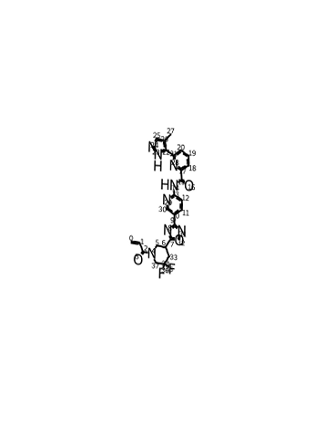 C=CC(=O)N1CC(c2nc(-c3ccc(NC(=O)c4cccc(-c5[nH]ncc5C)n4)nc3)no2)CC(F)(F)C1